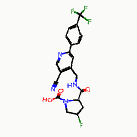 N#Cc1cnc(-c2ccc(C(F)(F)F)cc2)cc1CNC(=O)[C@H]1C[C@@H](F)CN1C(=O)O